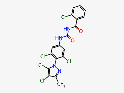 O=C(NC(=O)c1ccccc1Cl)Nc1cc(Cl)c(-n2nc(C(F)(F)F)c(Cl)c2Cl)c(Cl)c1